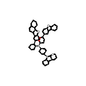 c1ccc(N(c2ccc(-c3ccc4oc5ccccc5c4c3)cc2)c2ccc(-n3c4ccccc4c4ccccc43)cc2)c(-c2ccc3oc4c5ccccc5ccc4c3c2)c1